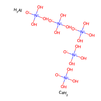 [AlH3].[CaH2].[O-][N+](O)(O)O.[O-][N+](O)(O)O.[O-][N+](O)(O)O.[O-][N+](O)(O)O.[O-][N+](O)(O)O